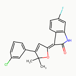 CC1(C)OC(=C2C(=O)Nc3cc(F)ccc32)C=C1c1cccc(Cl)c1